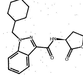 O=C(N[C@H]1CCOC1=O)c1nn(CC2CCCCC2)c2ccccc12